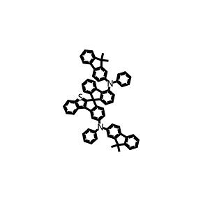 CC1(C)c2ccccc2-c2ccc(N(c3ccccc3)c3ccc4c(c3)-c3c(sc5ccccc35)C43c4ccccc4-c4c(N(c5ccccc5)c5ccc6c(c5)C(C)(C)c5ccccc5-6)cccc43)cc21